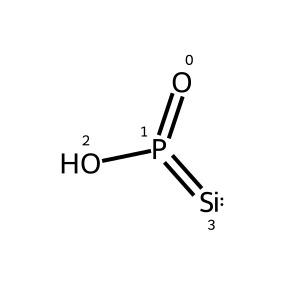 O=P(O)=[Si]